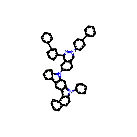 c1ccc(-c2ccc(-[n+]3cc4ccc(-n5c6ccccc6c6cc7c8c9ccccc9ccc8n(-c8ccccc8)c7cc65)cc4c(-c4cccc(-c5ccccc5)c4)n3)cc2)cc1